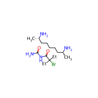 CCC(Br)(CC)C(=O)NC(N)=O.C[C@H](N)CCCCC[C@H](C)N